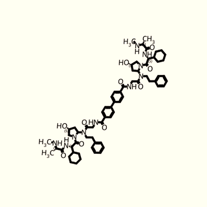 CN[C@@H](C)C(=O)N[C@H](C(=O)N1C[C@@H](O)CC1N(CCc1ccccc1)C(=O)CNC(=O)c1ccc(-c2ccc(C(=O)NCC(=O)N(CCc3ccccc3)C3C[C@H](O)CN3C(=O)[C@@H](NC(=O)[C@H](C)NC)C3CCCCC3)cc2)cc1)C1CCCCC1